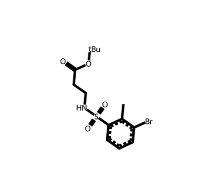 Cc1c(Br)cccc1S(=O)(=O)NCCC(=O)OC(C)(C)C